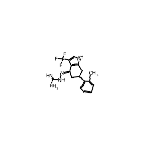 Cc1ccccc1C1C/C(=N\NC(=N)N)c2c(C(F)(F)F)coc2C1.Cl